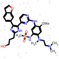 COc1cc(N(C)CCN(C)C)c(NS(C)(=O)=O)cc1Nc1nccc(-c2[nH]c(CCCO)nc2-c2ccc3ccoc3c2)n1